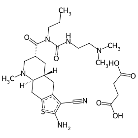 CCCN(C(=O)NCCN(C)C)C(=O)[C@@H]1C[C@@H]2Cc3c(sc(N)c3C#N)C[C@H]2N(C)C1.O=C(O)CCC(=O)O